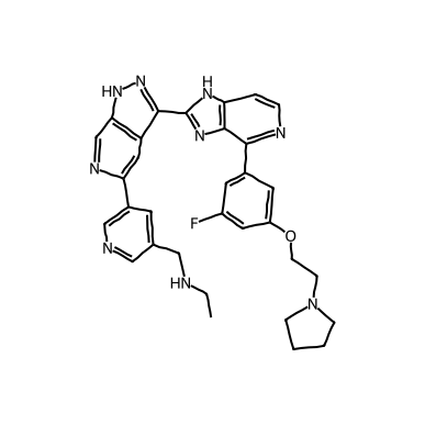 CCNCc1cncc(-c2cc3c(-c4nc5c(-c6cc(F)cc(OCCN7CCCC7)c6)nccc5[nH]4)n[nH]c3cn2)c1